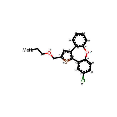 CNCCOCc1cc2c(s1)-c1cc(Cl)ccc1Oc1ccccc1-2